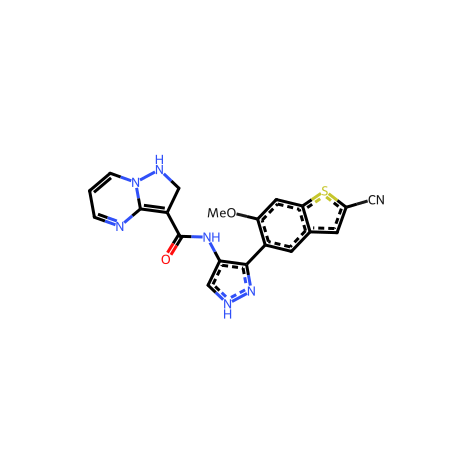 COc1cc2sc(C#N)cc2cc1-c1n[nH]cc1NC(=O)C1=C2N=CC=CN2NC1